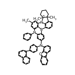 Cc1cc2c3c(c1)N1c4c(cccc4C4(C)CCCC[C@@]14C)B3c1ccc(N(c3ccc(-c4cccc5ccccc45)cc3)c3cccc4c3oc3ccccc34)cc1N2c1ccccc1